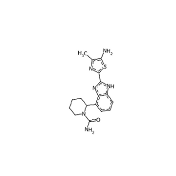 Cc1nc(-c2nc3c(C4CCCCN4C(N)=O)cccc3[nH]2)sc1N